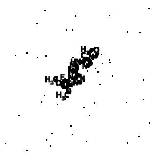 COc1cc(OC)c(F)c(Nc2ncncc2-c2cc(Nc3nccc(N4CCOCC4)c3C)ncn2)c1F